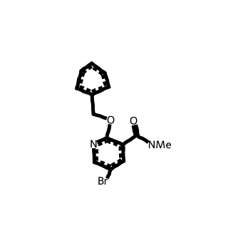 CNC(=O)c1cc(Br)cnc1OCc1ccccc1